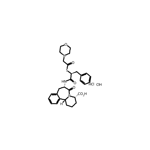 Cl.Cl.O=C(CN1CCOCC1)S[C@@H](Cc1ccccc1)C(=O)N[C@H]1Cc2ccccc2[C@H]2CCC[C@@H](C(=O)O)N2C1=O